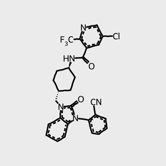 N#Cc1ccccc1-n1c(=O)n(C[C@H]2CC[C@H](NC(=O)c3cc(Cl)cnc3C(F)(F)F)CC2)c2ccccc21